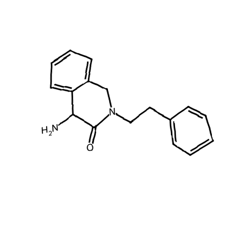 NC1C(=O)N(CCc2ccccc2)Cc2ccccc21